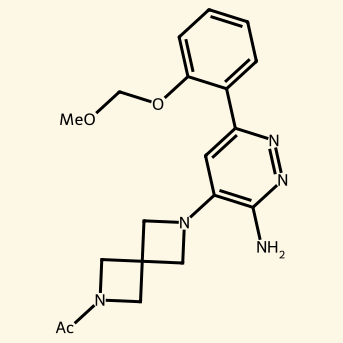 COCOc1ccccc1-c1cc(N2CC3(CN(C(C)=O)C3)C2)c(N)nn1